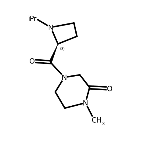 CC(C)N1CC[C@H]1C(=O)N1CCN(C)C(=O)C1